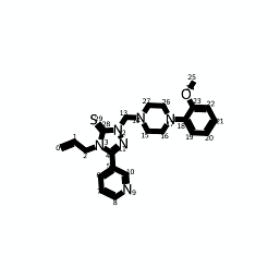 C=CCn1c(-c2cccnc2)nn(CN2CCN(c3ccccc3OC)CC2)c1=S